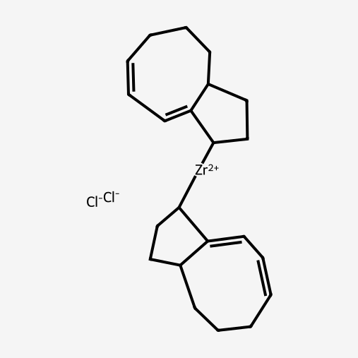 C1=CCCCC2CC[CH]([Zr+2][CH]3CCC4CCCC=CC=C43)C2=C1.[Cl-].[Cl-]